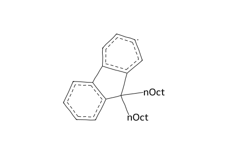 CCCCCCCCC1(CCCCCCCC)c2c[c]ccc2-c2ccccc21